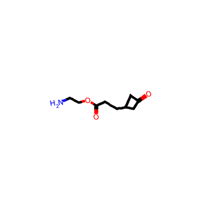 NCCOC(=O)CCC1CC(=O)C1